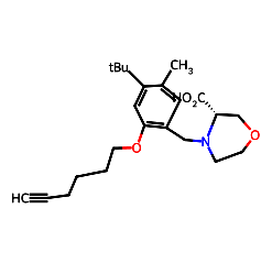 C#CCCCCOc1cc(C(C)(C)C)c(C)cc1CN1CCOC[C@H]1C(=O)O